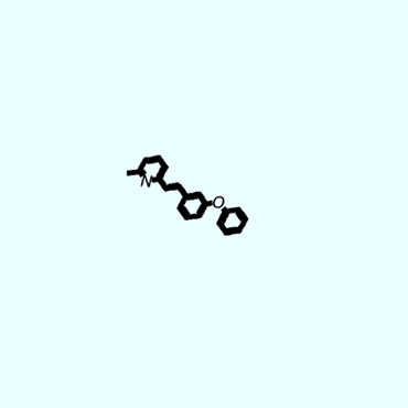 Cc1cccc(/C=C/c2cccc(Oc3ccccc3)c2)n1